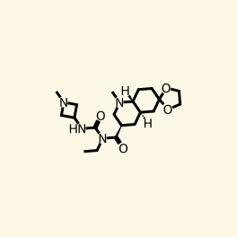 CCN(C(=O)NC1CN(C)C1)C(=O)[C@@H]1C[C@@H]2CC3(CC[C@H]2N(C)C1)OCCO3